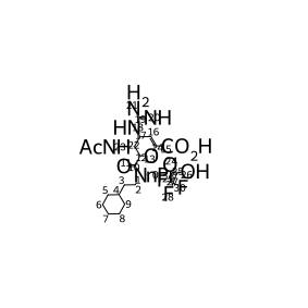 CCCN(CCC1CCCCC1)C(=O)[C@@H]1OC(C(=O)O)=C[C@H](NC(=N)N)[C@H]1NC(C)=O.O=C(O)C(F)(F)F